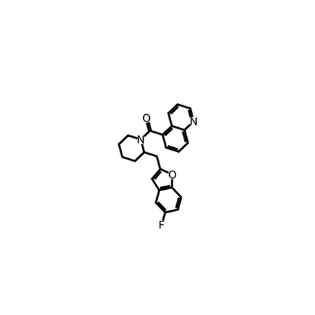 O=C(c1cccc2ncccc12)N1CCCCC1Cc1cc2cc(F)ccc2o1